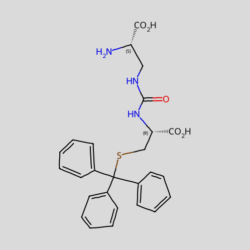 N[C@@H](CNC(=O)N[C@@H](CSC(c1ccccc1)(c1ccccc1)c1ccccc1)C(=O)O)C(=O)O